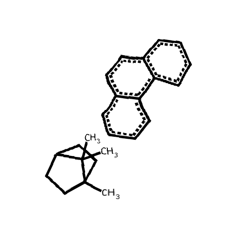 CC12CCC(CC1)C2(C)C.c1ccc2c(c1)ccc1ccccc12